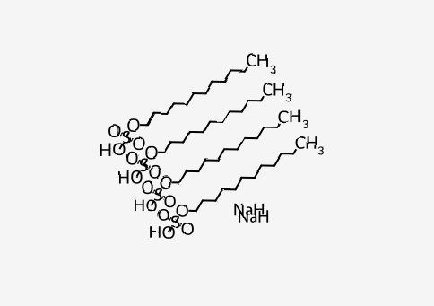 CCCCCCCCCCCCOS(=O)(=O)O.CCCCCCCCCCCCOS(=O)(=O)O.CCCCCCCCCCCCOS(=O)(=O)O.CCCCCCCCCCCCOS(=O)(=O)O.[NaH].[NaH]